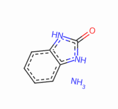 N.O=c1[nH]c2ccccc2[nH]1